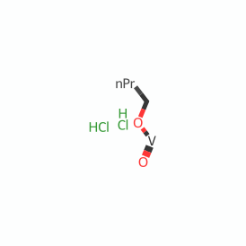 CCCC[O][V]=[O].Cl.Cl